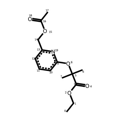 CCOC(=O)C(C)(C)Oc1cccc(COC(C)=O)n1